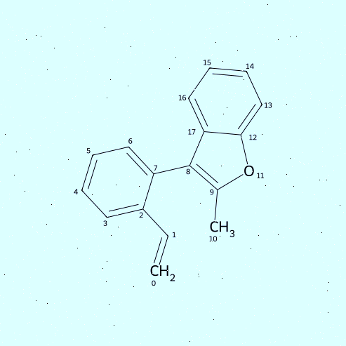 C=Cc1ccccc1-c1c(C)oc2ccccc12